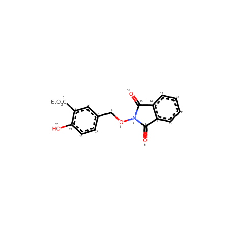 CCOC(=O)c1cc(CON2C(=O)c3ccccc3C2=O)ccc1O